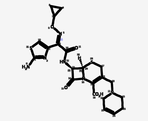 Nc1nc(/C(=N\OC2CC2)C(=O)N[C@@H]2C(=O)N3C(C(=O)O)=C(CN4CC=CCC4)CS[C@H]23)cs1